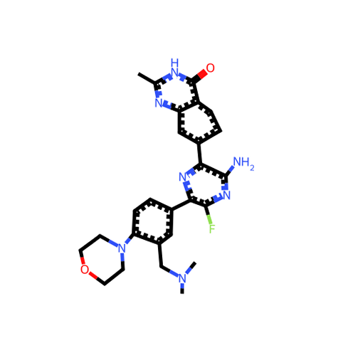 Cc1nc2cc(-c3nc(-c4ccc(N5CCOCC5)c(CN(C)C)c4)c(F)nc3N)ccc2c(=O)[nH]1